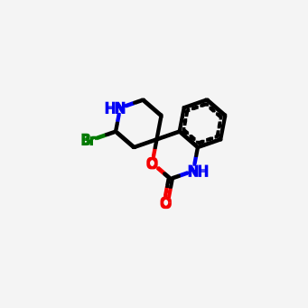 O=C1Nc2ccccc2C2(CCNC(Br)C2)O1